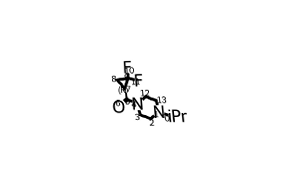 CC(C)N1CCN(C(=O)[C@H]2CC2(F)F)CC1